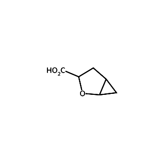 O=C(O)C1CC2CC2O1